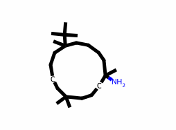 CC1(C)CCCCC(C)(C(C)(C)C)CCCCC(C)(N)CCC1